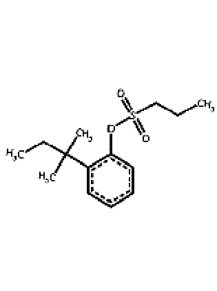 CCCS(=O)(=O)Oc1ccccc1C(C)(C)CC